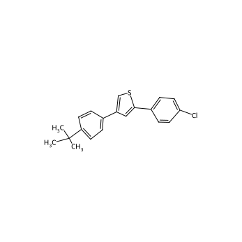 CC(C)(C)c1ccc(-c2csc(-c3ccc(Cl)cc3)c2)cc1